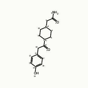 NC(=O)CN1CCN(C(=O)Cc2ccc(O)cc2)CC1